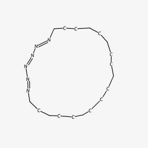 C1CCCCCCCCC/N=N/N=N/N=N/CCCCCCCC1